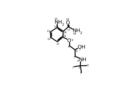 CC(C)(C)NCC(O)COc1cccc(N)c1C(N)=O